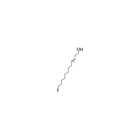 OCC/C=C/CCCCCCCCF